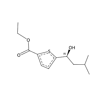 CCOC(=O)c1ccc([C@@H](O)CC(C)C)s1